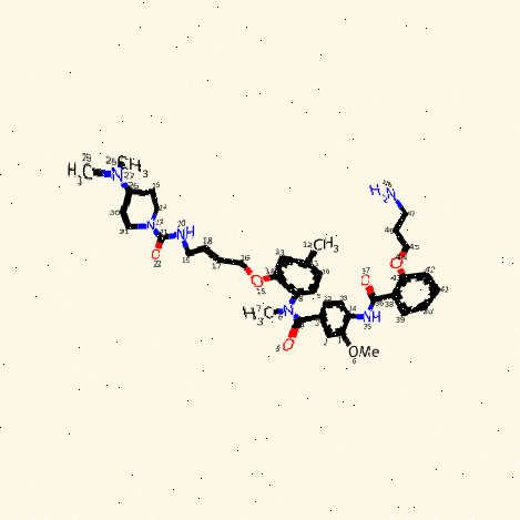 COc1cc(C(=O)N(C)c2ccc(C)cc2OCCCCNC(=O)N2CCC(N(C)C)CC2)ccc1NC(=O)c1ccccc1OCCCN